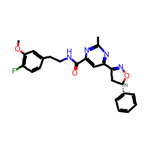 COc1cc(CCNC(=O)c2cc(C3=NO[C@H](c4ccccc4)C3)nc(C)n2)ccc1F